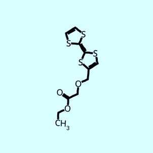 CCOC(=O)COCC1=CSC(=C2SC=CS2)S1